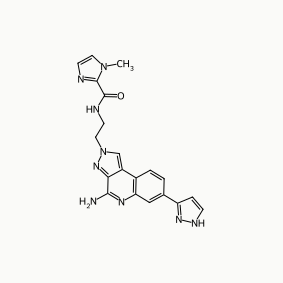 Cn1ccnc1C(=O)NCCn1cc2c(n1)c(N)nc1cc(-c3cc[nH]n3)ccc12